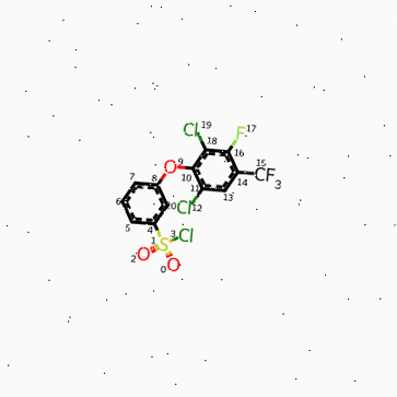 O=S(=O)(Cl)c1cccc(Oc2c(Cl)cc(C(F)(F)F)c(F)c2Cl)c1